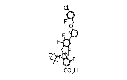 CC1(C)COC[C@H]1n1c(Cc2c(F)cc(-c3cccc(OCc4ccc(Cl)cc4F)n3)c(F)c2F)nc2c(F)cc(C(=O)O)cc21